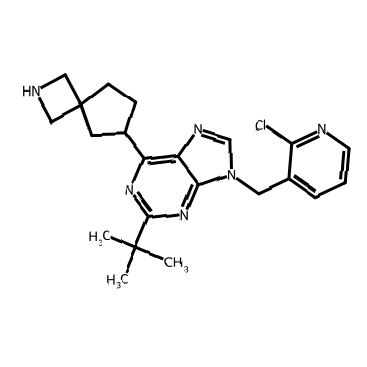 CC(C)(C)c1nc(C2CCC3(CNC3)C2)c2ncn(Cc3cccnc3Cl)c2n1